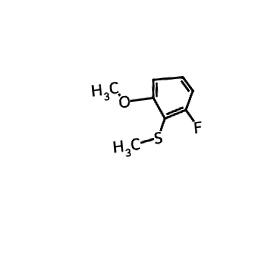 COc1cccc(F)c1SC